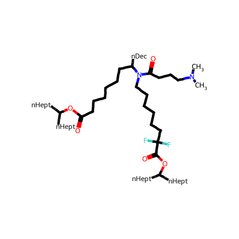 CCCCCCCCCCC(CCCCCCC(=O)OC(CCCCCCC)CCCCCCC)N(CCCCCCC(F)(F)C(=O)OC(CCCCCCC)CCCCCCC)C(=O)CCCN(C)C